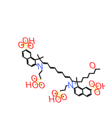 CC(=O)CCCCCC1(C)C(/C=C/C=C/C=C/C=C2\N(CCCS(=O)(=O)O)c3ccc4ccc(S(=O)(=O)O)cc4c3C2(C)C)=[N+](CCCS(=O)(=O)O)c2ccc3ccc(S(=O)(=O)O)cc3c21